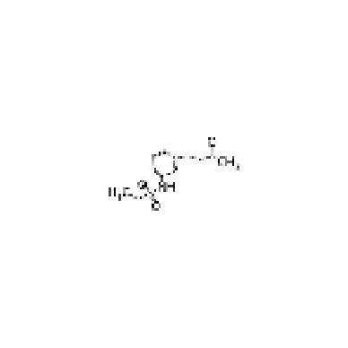 CCS(=O)(=O)Nc1cccc(CCC(C)=O)c1